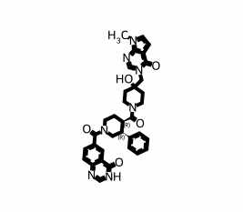 Cn1ccc2c(=O)n(CC3(O)CCN(C(=O)[C@@H]4CCN(C(=O)c5ccc6nc[nH]c(=O)c6c5)C[C@H]4c4ccccc4)CC3)cnc21